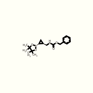 CC1(C)OB([C@@H]2C[C@H]2CNC(=O)OCc2ccccc2)OC1(C)C